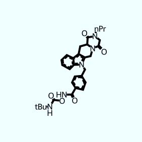 CCCN1CC(=O)N2Cc3c(c4ccccc4n3Cc3ccc(C(=O)NOC(=O)NC(C)(C)C)cc3)CC2C1=O